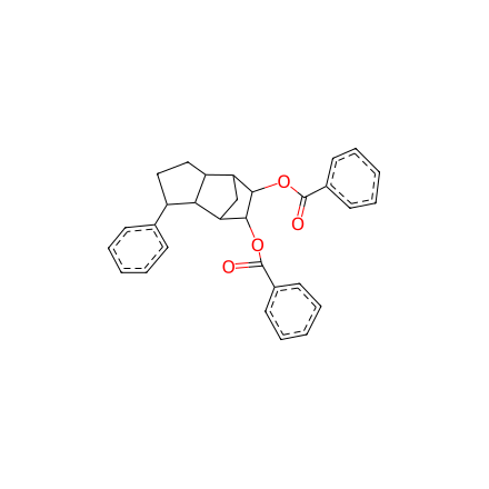 O=C(OC1C2CC(C1OC(=O)c1ccccc1)C1C(c3ccccc3)CCC21)c1ccccc1